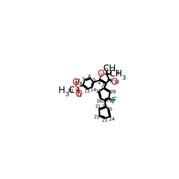 CC1(C)OC(c2ccc(S(C)(=O)=O)cc2)=C(c2ccc(-c3ccccc3)c(F)c2)C1=O